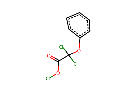 O=C(OCl)C(Cl)(Cl)Oc1ccccc1